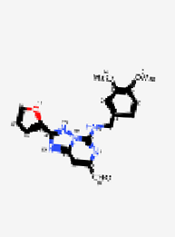 COc1ccc(CNc2nc(C=O)cc3nc(-c4ccco4)nn23)cc1OC